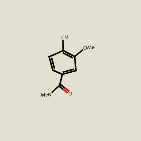 CNC(=O)c1ccc(C#N)c(OC)c1